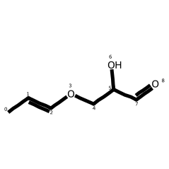 CC=COCC(O)C=O